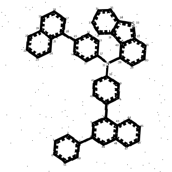 c1ccc(-c2cc(-c3ccc(N(c4ccc(-c5cccc6ccccc56)cc4)c4cccc5sc6ccccc6c45)cc3)c3ccccc3c2)cc1